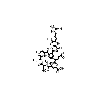 CC(NC(=O)C(CO)NC(=O)C(CCC(=O)O)NC(=O)C(N)CCC(=O)O)C(=O)NC(CO)C(=O)N1CCCC1C(=O)NC(C)C(=O)NC(CCCNC(=N)N)C(=O)O